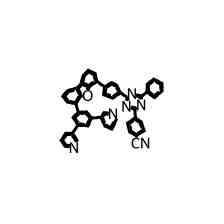 N#Cc1ccc(-c2nc(-c3ccccc3)nc(-c3ccc(-c4cccc5c4oc4c(-c6cc(-c7cccnc7)cc(-c7cccnc7)c6)cccc45)cc3)n2)cc1